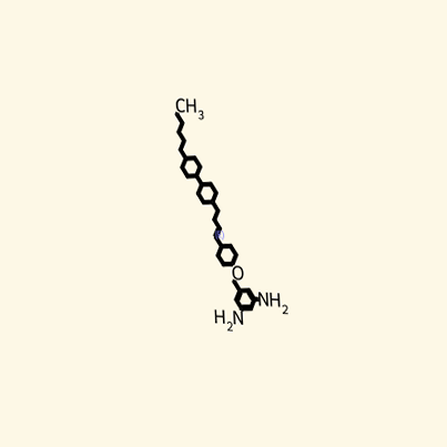 CCCCCCC1CCC(C2CCC(CC/C=C/C3CCC(OCc4cc(N)cc(N)c4)CC3)CC2)CC1